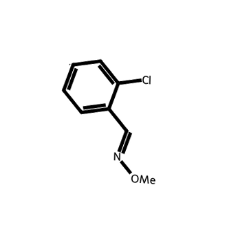 CO/N=C/c1cc[c]cc1Cl